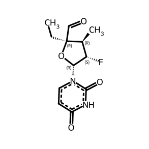 CC[C@@]1(C=O)O[C@@H](n2ccc(=O)[nH]c2=O)[C@@H](F)[C@@H]1C